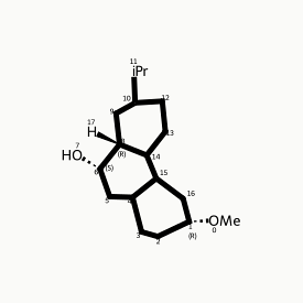 CO[C@@H]1CCC2C[C@H](O)[C@@H]3CC(C(C)C)CCC3C2C1